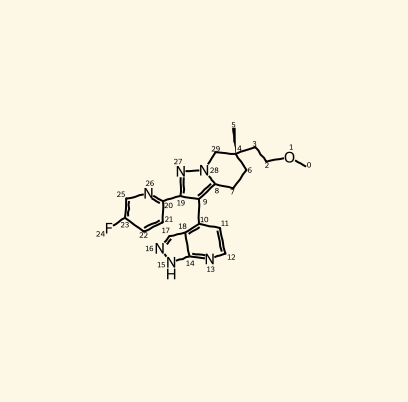 COCC[C@]1(C)CCc2c(-c3ccnc4[nH]ncc34)c(-c3ccc(F)cn3)nn2C1